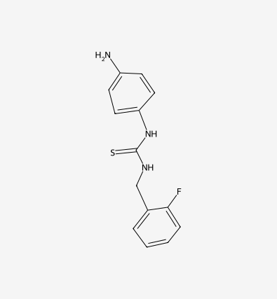 Nc1ccc(NC(=S)NCc2ccccc2F)cc1